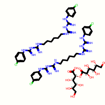 N=C(NCCCCCCNC(=N)NC(=N)Nc1ccc(Cl)cc1)NC(=N)Nc1ccc(Cl)cc1.N=C(NCCCCCCNC(=N)NC(=N)Nc1ccc(Cl)cc1)NC(=N)Nc1ccc(Cl)cc1.O=C(O[C@@H](C(=O)O)[C@@H](O)[C@H](O)[C@H](O)CO)[C@H](O)[C@@H](O)[C@H](O)[C@H](O)CO